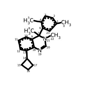 Cc1ccc(C)c(C2(C)c3cccc(C4CCC4)c3N=CN2C)c1